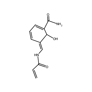 C=CC(=O)NC=C1C=CC=C(C(N)=O)C1O